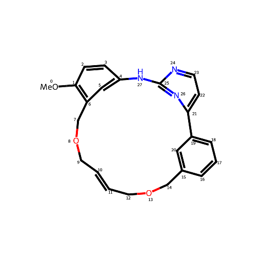 COc1ccc2cc1COC/C=C/COCc1cccc(c1)-c1ccnc(n1)N2